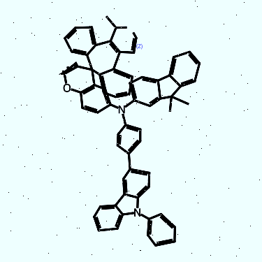 C/C=C\C1=C(C(C)C)c2ccccc2C2(c3ccccc3Oc3ccc(N(c4ccc(-c5ccc6c(c5)c5ccccc5n6-c5ccccc5)cc4)c4ccc5c(c4)C(C)(C)c4ccccc4-5)cc32)c2ccccc21